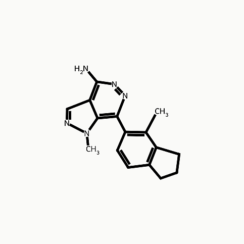 Cc1c(-c2nnc(N)c3cnn(C)c23)ccc2c1CCC2